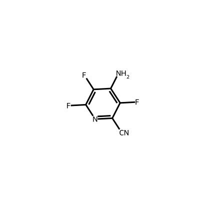 N#Cc1nc(F)c(F)c(N)c1F